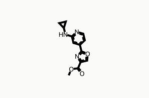 COC(=O)c1coc(-c2ccnc(NC3CC3)c2)n1